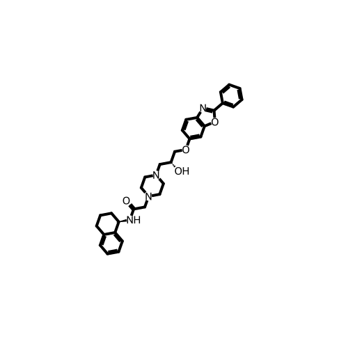 O=C(CN1CCN(C[C@@H](O)COc2ccc3nc(-c4ccccc4)oc3c2)CC1)N[C@@H]1CCCc2ccccc21